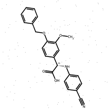 COc1cc([C@H](Nc2ccc(C#N)cc2)C(=O)O)ccc1OCc1ccccc1